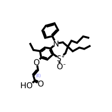 CCCCC1(CCCC)CN(c2ccccc2)c2cc(CC)c(O/C=C/C(=O)O)cc2[S+]([O-])C1